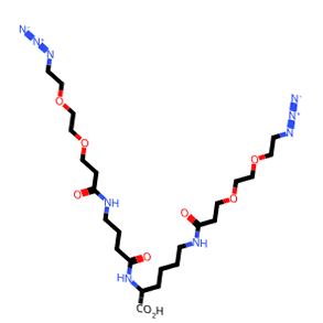 [N-]=[N+]=NCCOCCOCCC(=O)NCCCCC(NC(=O)CCCNC(=O)CCOCCOCCN=[N+]=[N-])C(=O)O